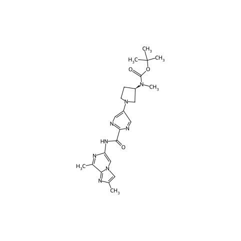 Cc1cn2cc(NC(=O)c3ncc(N4CC[C@@H](N(C)C(=O)OC(C)(C)C)C4)cn3)nc(C)c2n1